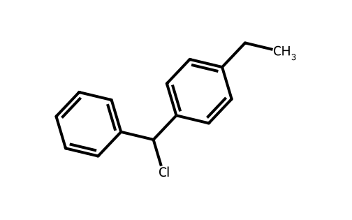 CCc1ccc(C(Cl)c2ccccc2)cc1